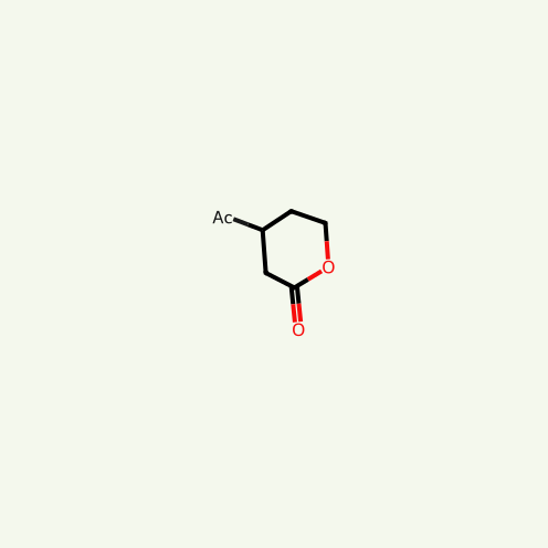 CC(=O)C1CCOC(=O)C1